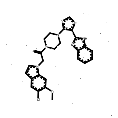 COc1cc2c(ccn2CC(=O)N2CCN(c3scnc3-c3nc4ccccc4[nH]3)CC2)cc1Cl